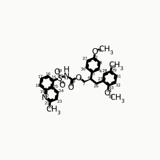 COc1ccc([C@H](COC(=O)NS(=O)(=O)c2cccc3nc(C)ccc23)Cc2cc(C)ccc2OC)cc1